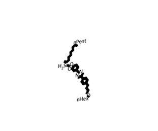 CCCCCCOCCCCc1ccc(-c2cnc(-c3ccc4c(c3)OC([SiH2]C(C)CCCCCCC(C)CCCCC)O4)nc2)cc1